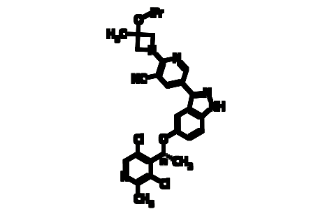 Cc1ncc(Cl)c([C@@H](C)Oc2ccc3[nH]nc(-c4cnc(N5CC(C)(OC(C)C)C5)c(C#N)c4)c3c2)c1Cl